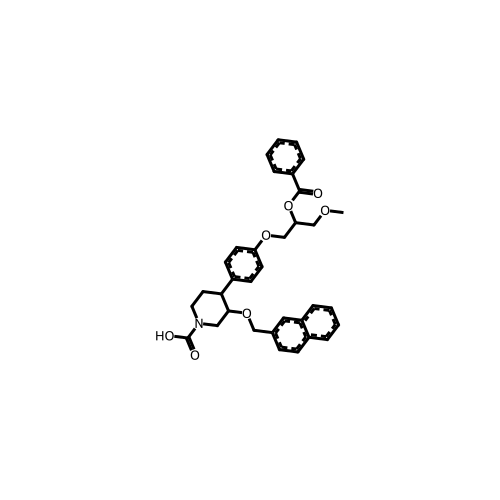 COCC(COc1ccc(C2CCN(C(=O)O)CC2OCc2ccc3ccccc3c2)cc1)OC(=O)c1ccccc1